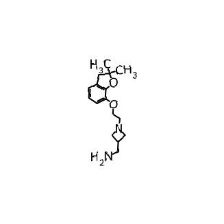 CC1(C)Cc2cccc(OCCN3CC(CN)C3)c2O1